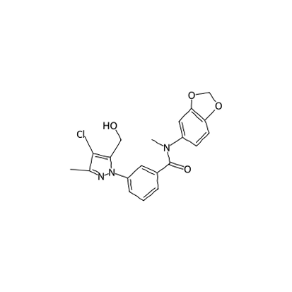 Cc1nn(-c2cccc(C(=O)N(C)c3ccc4c(c3)OCO4)c2)c(CO)c1Cl